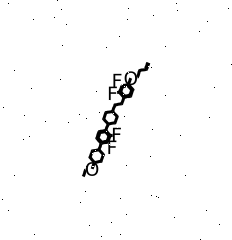 C=CCCOc1ccc(CCC2CCC(c3ccc(C4CCC(OCC)CC4)c(F)c3F)CC2)c(F)c1F